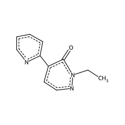 CCn1nccc(-c2ccccn2)c1=O